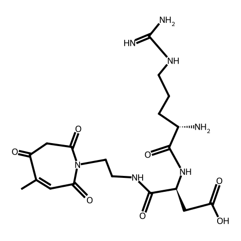 CC1=CC(=O)N(CCNC(=O)[C@H](CC(=O)O)NC(=O)[C@@H](N)CCCNC(=N)N)C(=O)CC1=O